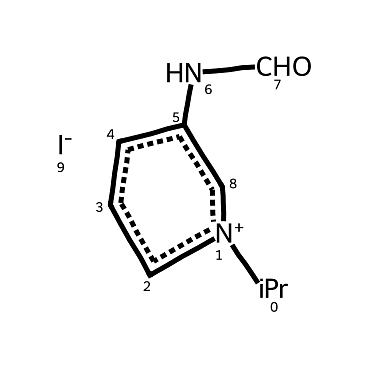 CC(C)[n+]1cccc(NC=O)c1.[I-]